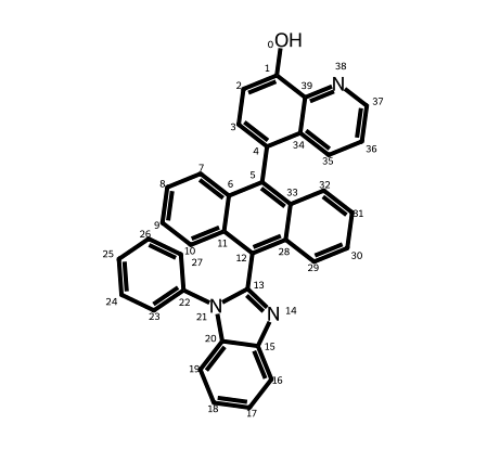 Oc1ccc(-c2c3ccccc3c(-c3nc4ccccc4n3-c3ccccc3)c3ccccc23)c2cccnc12